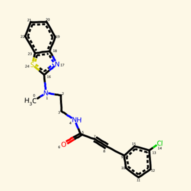 CN(CCNC(=O)C#Cc1cccc(Cl)c1)c1nc2ccccc2s1